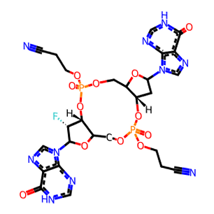 N#CCCOP1(=O)OCC2OC(n3cnc4c(=O)[nH]cnc43)[C@H](F)[C@@H]2OP(=O)(OCCC#N)OCC2OC(n3cnc4c(=O)[nH]cnc43)C[C@@H]2O1